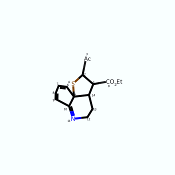 CCOC(=O)C1C(C(C)=O)SC23C=CC=CC2=NCCC13